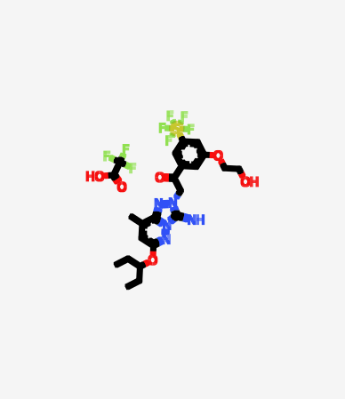 CCC(CC)Oc1cc(C)c2nn(CC(=O)c3cc(OCCO)cc(S(F)(F)(F)(F)F)c3)c(=N)n2n1.O=C(O)C(F)(F)F